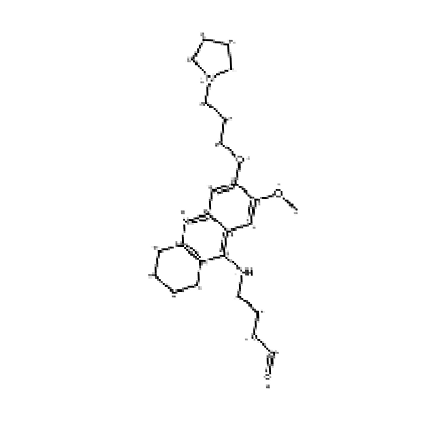 COc1cc2c(NCCOC=O)c3c(nc2cc1OCCCN1CCCC1)CCCC3